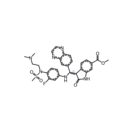 COC(=O)c1ccc2c(c1)NC(=O)/C2=C(\Nc1ccc(N(CCN(C)C)S(C)(=O)=O)c(F)c1)c1ccc2nccnc2c1